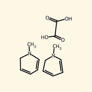 CN1C=CC=CC1.CN1C=CC=CC1.O=C(O)C(=O)O